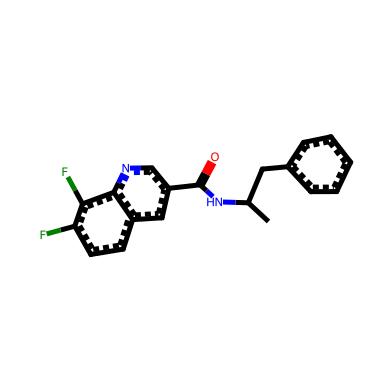 CC(Cc1ccccc1)NC(=O)c1cnc2c(F)c(F)ccc2c1